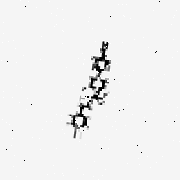 C[C@@H]1CN(c2ncc(C#N)cn2)C[C@H](C)N1C(=O)NCCC1CCNCC1